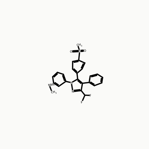 CNC.CS(=O)(=O)c1ccc(-c2c(-c3ccccc3)c(C(F)F)nn2-c2ccccc2)cc1